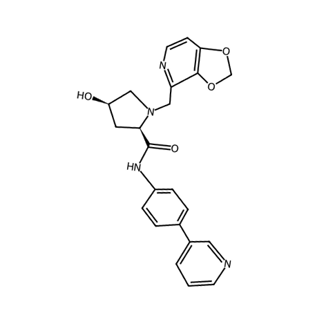 O=C(Nc1ccc(-c2cccnc2)cc1)[C@H]1C[C@@H](O)CN1Cc1nccc2c1OCO2